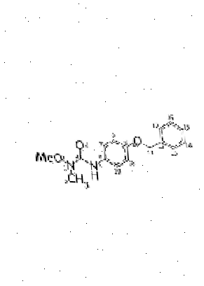 CON(C)C(=O)Nc1ccc(OCc2ccccc2)cc1